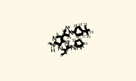 CCc1nc2c(NC)ncc(-c3cnn(-c4ccc(C(C)(C)C)cc4)c3)c2nc1NC1CCCC1